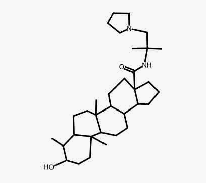 CC1C(O)CCC2(C)C1CCC1(C)C3CCC4(C(=O)NC(C)(C)CN5CCCC5)CCCC4C3CCC21